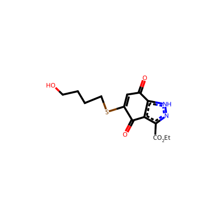 CCOC(=O)c1n[nH]c2c1C(=O)C(SCCCCO)=CC2=O